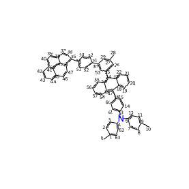 Cc1ccc(N(c2ccc(C)cc2)c2ccc(-c3c4ccccc4c(-c4cc(C)cc(-c5ccc(-c6ccc7ccc8cccc9ccc6c7c89)cc5)c4)c4ccccc34)cc2)cc1